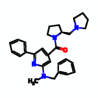 CN(Cc1ccccc1)c1cc(C(=O)N2CCC[C@H]2CN2CCCC2)cc(-c2ccccc2)n1